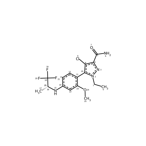 CCn1nc(C(N)=O)c(Cl)c1-c1ccc(N[C@H](C)C(F)(F)F)cc1OC